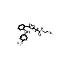 CC(C)(C(=O)NCCC#N)c1nnc(-c2ccccc2Nc2ccc(C(F)(F)F)cc2)o1